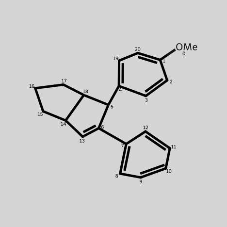 COc1ccc(C2C(c3ccccc3)=CC3CCCC32)cc1